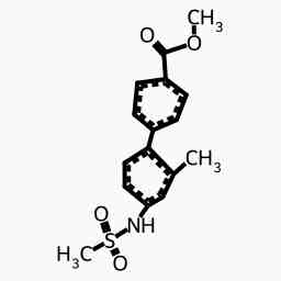 COC(=O)c1ccc(-c2ccc(NS(C)(=O)=O)cc2C)cc1